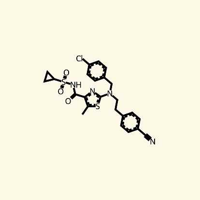 Cc1sc(N(CCc2ccc(C#N)cc2)Cc2ccc(Cl)cc2)nc1C(=O)NS(=O)(=O)C1CC1